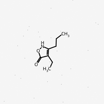 CCCc1[nH]oc(=O)c1CC